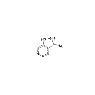 CC(=O)C1NNc2cnccc21